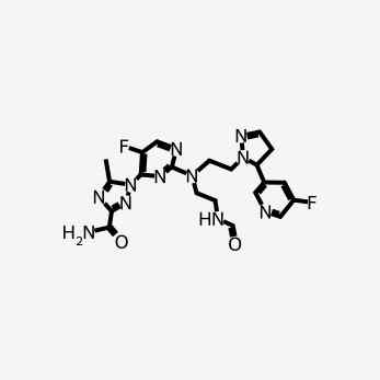 Cc1nc(C(N)=O)nn1-c1nc(N(CCNC=O)CCN2N=CCC2c2cncc(F)c2)ncc1F